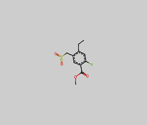 CCc1cc(F)c(C(=O)OC)cc1C[SH](=O)=O